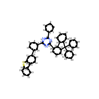 c1ccc(-c2nc(-c3cccc(-c4ccc5c(c4)sc4ccccc45)c3)nc(-c3cccc4c3-c3ccccc3C4(c3ccccc3)c3ccccc3)n2)cc1